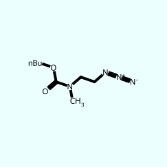 CCCCOC(=O)N(C)CCN=[N+]=[N-]